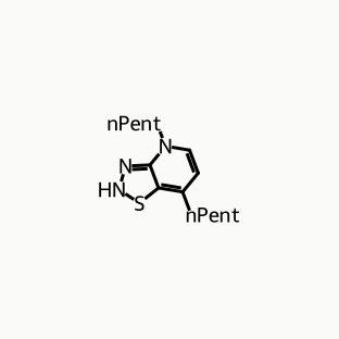 CCCCCC1=C2SNN=C2N(CCCCC)C=C1